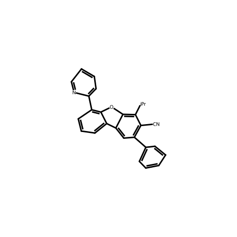 CC(C)c1c(C#N)c(-c2ccccc2)cc2c1oc1c(-c3ccccn3)cccc12